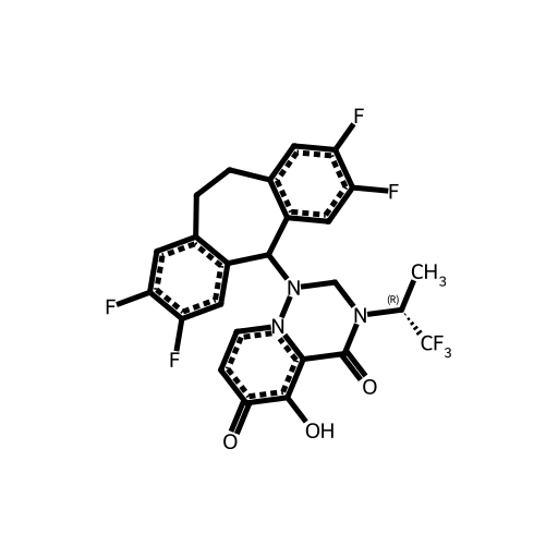 C[C@@H](N1CN(C2c3cc(F)c(F)cc3CCc3cc(F)c(F)cc32)n2ccc(=O)c(O)c2C1=O)C(F)(F)F